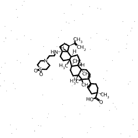 C=C(C)[C@@H]1CC[C@]2(NCCN3CCS(=O)(=O)CC3)CC[C@]3(C)[C@H](CC[C@@H]4[C@@]5(C)CC=C(C6=CC[C@](C)(C(=O)O)CC6)C(C)(C)[C@@H]5CC[C@]43C)[C@@H]12